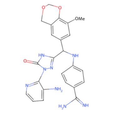 COc1cc(C(Nc2ccc(C(=N)N)cc2)c2nn(-c3ncccc3N)c(=O)[nH]2)cc2c1OCOC2